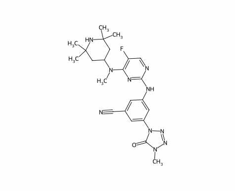 CN(c1nc(Nc2cc(C#N)cc(-n3nnn(C)c3=O)c2)ncc1F)C1CC(C)(C)NC(C)(C)C1